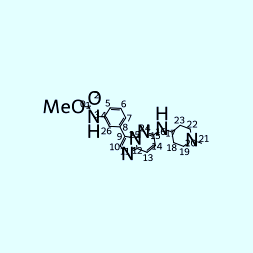 COC(=O)Nc1cccc(-c2cnc3ccc(NC4CCN(C)CC4)nn23)c1